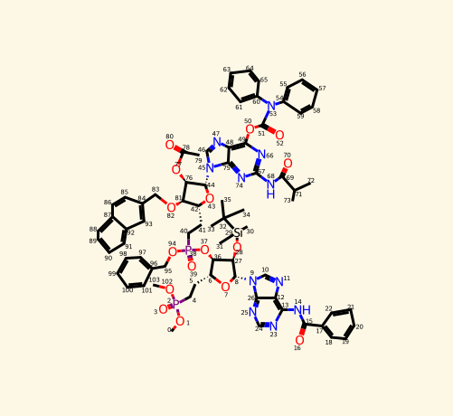 COP(=O)(CC[C@H]1O[C@@H](n2cnc3c(NC(=O)c4ccccc4)ncnc32)[C@H](O[Si](C)(C)C(C)(C)C)[C@@H]1OP(=O)(CC[C@H]1O[C@@H](n2cnc3c(OC(=O)N(c4ccccc4)c4ccccc4)nc(NC(=O)C(C)C)nc32)[C@H](OC(C)=O)[C@@H]1OCc1ccc2ccccc2c1)OCc1ccccc1)OC